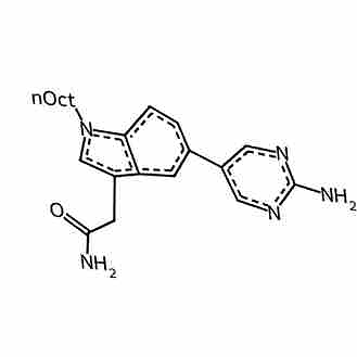 CCCCCCCCn1cc(CC(N)=O)c2cc(-c3cnc(N)nc3)ccc21